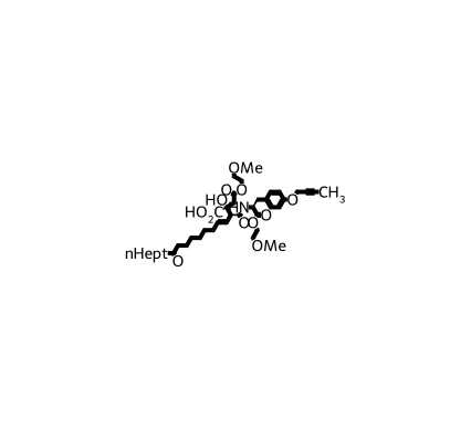 CC#CCOc1ccc(C[C@H](NC(=O)[C@@H](/C=C/CCCCCCC(=O)CCCCCCC)[C@@](O)(CC(=O)OCCOC)C(=O)O)C(=O)OCCOC)cc1